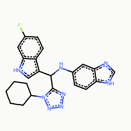 Fc1ccc2c(C(Nc3ccc4[nH]cnc4c3)c3nnnn3C3CCCCC3)c[nH]c2c1